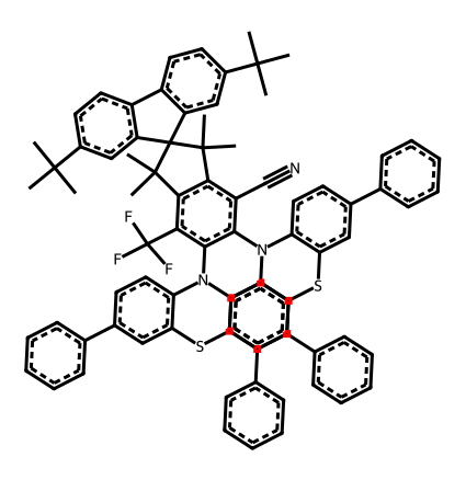 CC(C)(C)c1ccc2c(c1)C1(c3cc(C(C)(C)C)ccc3-2)C(C)(C)c2c(C#N)c(N3c4ccc(-c5ccccc5)cc4Sc4cc(-c5ccccc5)ccc43)c(N3c4ccc(-c5ccccc5)cc4Sc4cc(-c5ccccc5)ccc43)c(C(F)(F)F)c2C1(C)C